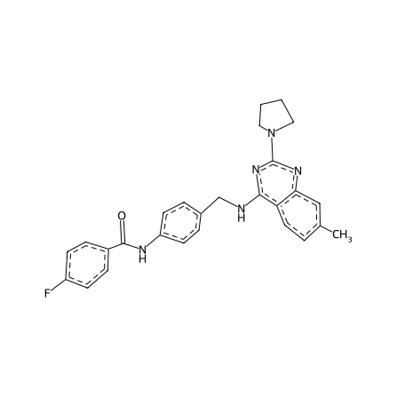 Cc1ccc2c(NCc3ccc(NC(=O)c4ccc(F)cc4)cc3)nc(N3CCCC3)nc2c1